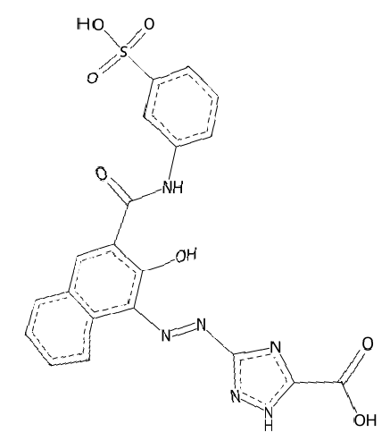 O=C(O)c1nc(/N=N/c2c(O)c(C(=O)Nc3cccc(S(=O)(=O)O)c3)cc3ccccc23)n[nH]1